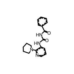 O=C(NC(=O)c1ccccc1)Nc1cccnc1N1CCCCC1